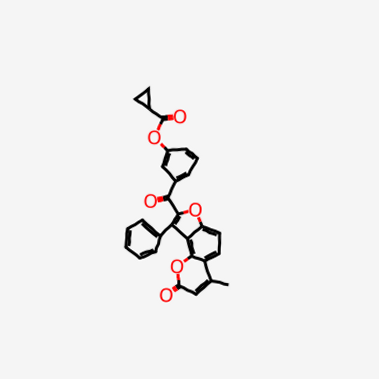 Cc1cc(=O)oc2c1ccc1oc(C(=O)c3cccc(OC(=O)C4CC4)c3)c(-c3ccccc3)c12